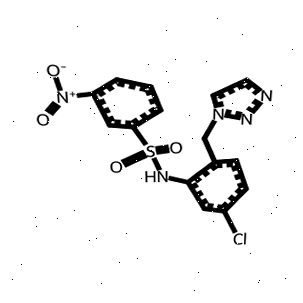 O=[N+]([O-])c1cccc(S(=O)(=O)Nc2cc(Cl)ccc2Cn2ccnn2)c1